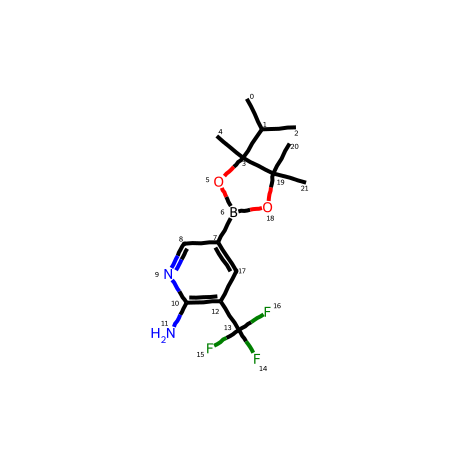 CC(C)C1(C)OB(c2cnc(N)c(C(F)(F)F)c2)OC1(C)C